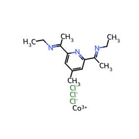 CCN=C(C)c1cc(C)cc(C(C)=NCC)n1.[Cl-].[Cl-].[Cl-].[Co+3]